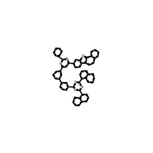 c1ccc(-c2nc(-c3cccc(-c4cccc(-c5nc(-c6cccc7ccccc67)nc(-c6cccc7ccccc67)n5)c4)c3)cc(-c3ccc4c(c3)oc3c5ccccc5ccc43)n2)cc1